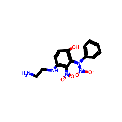 NCCNc1ccc(O)c(N(c2ccccc2)[N+](=O)[O-])c1[N+](=O)[O-]